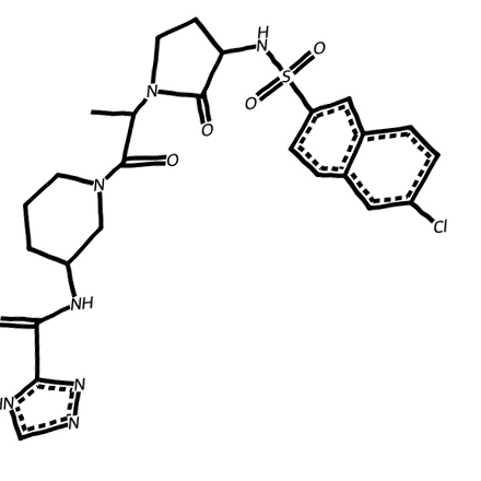 CC(C(=O)N1CCCC(NC(=O)c2nnc[nH]2)C1)N1CCC(NS(=O)(=O)c2ccc3cc(Cl)ccc3c2)C1=O